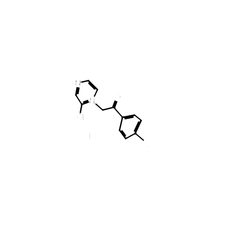 O=C(C[n+]1ccncc1Cl)c1ccc(Cl)cc1.[I-]